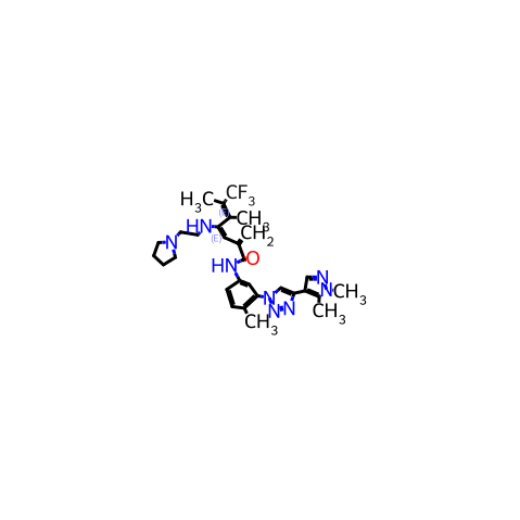 C=C(/C=C(NCCN1CCCC1)\C(C)=C(/C)C(F)(F)F)C(=O)Nc1ccc(C)c(-n2cc(-c3cnn(C)c3C)nn2)c1